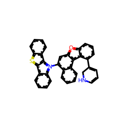 C1=CNCC(c2cccc3oc4cc(-n5c6ccccc6c6sc7ccccc7c65)c5ccccc5c4c23)=C1